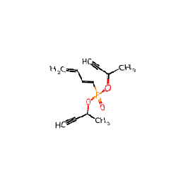 C#CC(C)OP(=O)(CCC=C)OC(C)C#C